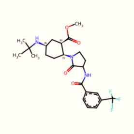 COC(=O)[C@@H]1C[C@H](NC(C)(C)C)CC[C@@H]1N1CCC(NC(=O)c2cccc(C(F)(F)F)c2)C1=O